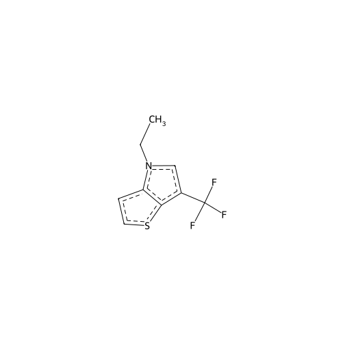 CCn1cc(C(F)(F)F)c2sccc21